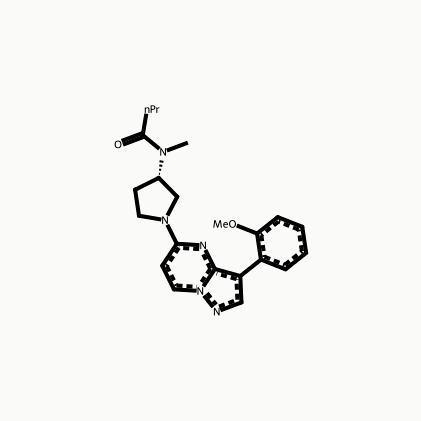 CCCC(=O)N(C)[C@H]1CCN(c2ccn3ncc(-c4ccccc4OC)c3n2)C1